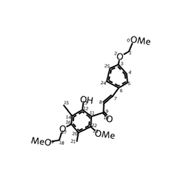 COCOc1ccc(/C=C/C(=O)c2c(O)c(C)c(OCOC)c(C)c2OC)cc1